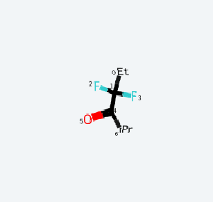 CCC(F)(F)C(=O)C(C)C